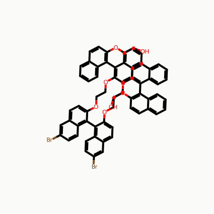 OCCOc1ccc2ccccc2c1-c1c(OCCOc2ccc3cc(Br)ccc3c2-c2c(OCCOc3ccc4ccccc4c3-c3c(OCCO)ccc4ccccc34)ccc3cc(Br)ccc23)ccc2ccccc12